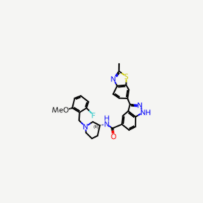 COc1cccc(F)c1CN1CCC[C@@H](NC(=O)c2ccc3[nH]nc(-c4ccc5nc(C)sc5c4)c3c2)C1